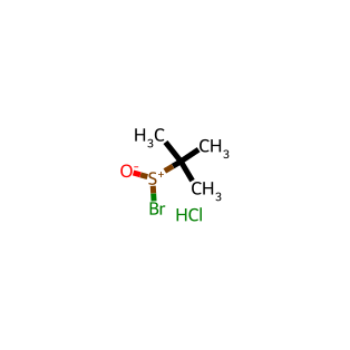 CC(C)(C)[S+]([O-])Br.Cl